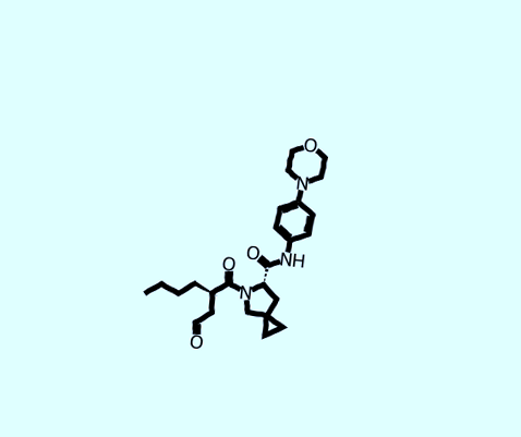 CCCC[C@H](CC=O)C(=O)N1CC2(CC2)C[C@H]1C(=O)Nc1ccc(N2CCOCC2)cc1